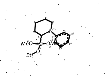 CCO[Si](OC)(OC)C1CCCCN1c1ccccc1